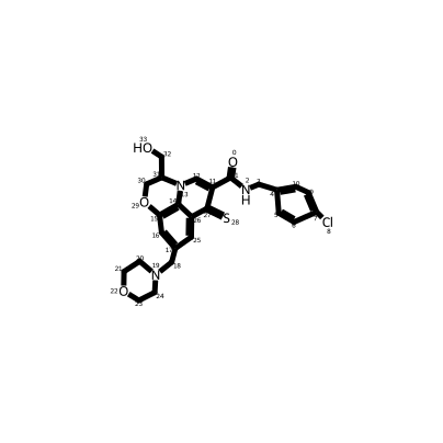 O=C(NCc1ccc(Cl)cc1)c1cn2c3c(cc(CN4CCOCC4)cc3c1=S)OCC2CO